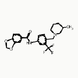 CC1CCCN(Cc2ccc(NC(=O)c3ccc4c(c3)OCO4)cc2C(F)(F)F)C1